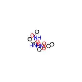 O=C(NCC(=O)[C@H](Cc1ccccc1)NC(=O)c1ccccc1NS(=O)(=O)c1ccc2ccccc2c1)c1ccccc1